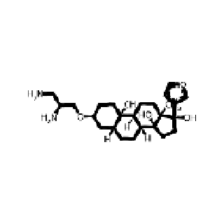 C[C@]12CC[C@H](OCC(N)CN)C[C@H]1CC[C@@H]1[C@@H]2CC[C@]2(C)[C@](O)(c3ccoc3)CC[C@]12O